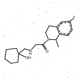 CC1c2ccc(F)cc2CCN1C(=O)CNCC1(O)CCCCC1